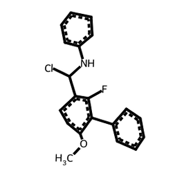 COc1ccc(C(Cl)Nc2ccccc2)c(F)c1-c1ccccc1